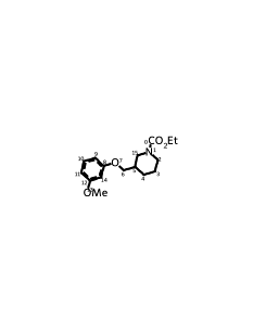 CCOC(=O)N1CCCC(COc2cccc(OC)c2)C1